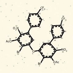 CC(=O)Oc1c(Br)c(Oc2cc(-c3ccc(C(F)(F)F)cc3)c([N+](=O)[O-])c(OC(C)=O)c2Br)cc(-c2ccc(C(F)(F)F)cc2)c1[N+](=O)[O-]